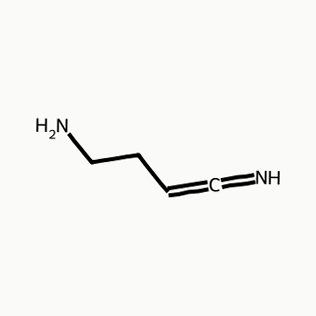 N=C=CCCN